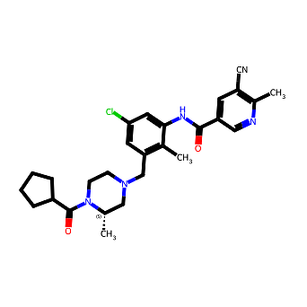 Cc1ncc(C(=O)Nc2cc(Cl)cc(CN3CCN(C(=O)C4CCCC4)[C@@H](C)C3)c2C)cc1C#N